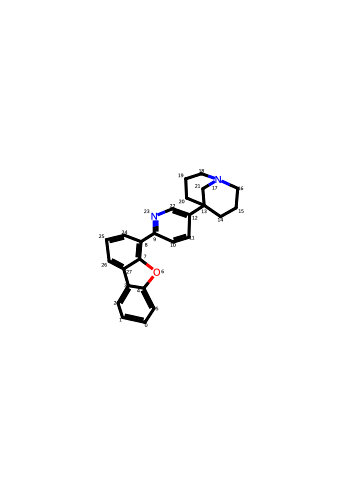 c1ccc2c(c1)oc1c(-c3ccc(C45CCCN(CCC4)C5)cn3)cccc12